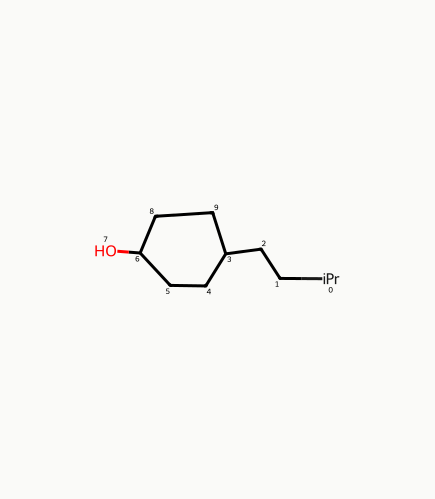 CC(C)CCC1CCC(O)CC1